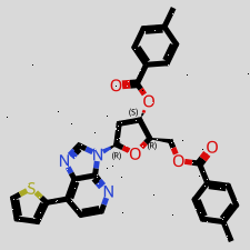 Cc1ccc(C(=O)OC[C@H]2O[C@@H](n3cnc4c(-c5cccs5)ccnc43)C[C@@H]2OC(=O)c2ccc(C)cc2)cc1